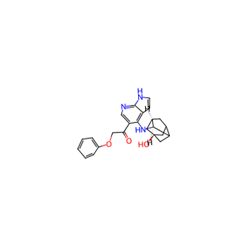 O=C(COc1ccccc1)c1cnc2[nH]ccc2c1N[C@@H]1C2C[C@@]3(O)CC2C[C@@H]1C3